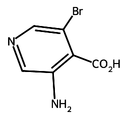 Nc1cncc(Br)c1C(=O)O